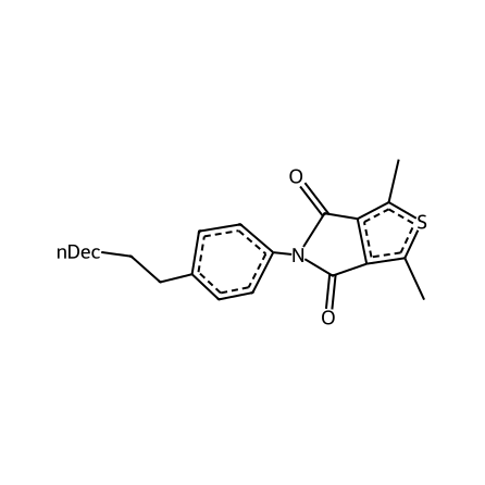 CCCCCCCCCCCCc1ccc(N2C(=O)c3c(C)sc(C)c3C2=O)cc1